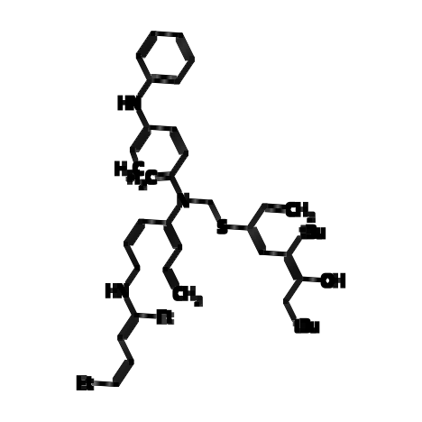 C=C/C=C(\C=C/CN/C(=C/C=C\CC)CC)N(CS/C(C=C)=C/C(=C(/O)CC(C)(C)C)C(C)(C)C)C(=C)/C=C\C(=C/C)Nc1ccccc1